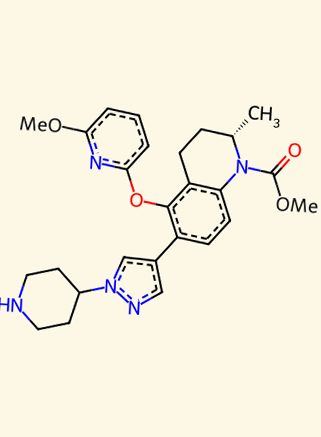 COC(=O)N1c2ccc(-c3cnn(C4CCNCC4)c3)c(Oc3cccc(OC)n3)c2CC[C@@H]1C